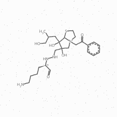 CC(CO)CC1(O)C2SCC[N+]2(CC(=O)c2ccccc2)CC1(O)CNN[C@@H](C=O)CCCCN